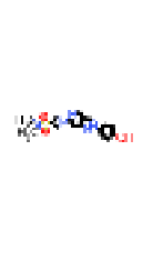 CN(C)S(=O)(=O)C1CN(c2cc3nn(-c4ccc(O)cc4)cc3cn2)C1